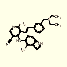 CCN(CC)Cc1cccc(/C=C/c2c(C)ncc(C#N)c2Nc2ccc3[nH]ccc3c2C)c1